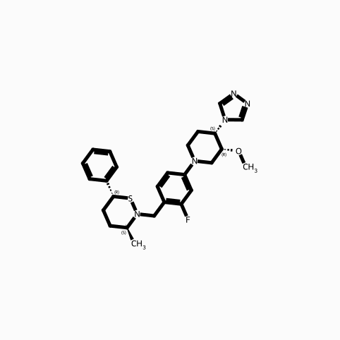 CO[C@@H]1CN(c2ccc(CN3S[C@@H](c4ccccc4)CC[C@@H]3C)c(F)c2)CC[C@@H]1n1cnnc1